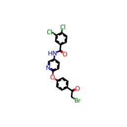 O=C(CBr)c1ccc(Oc2ccc(NC(=O)c3ccc(Cl)c(Cl)c3)cn2)cc1